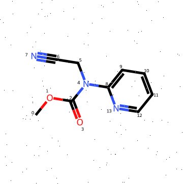 COC(=O)N(CC#N)c1ccccn1